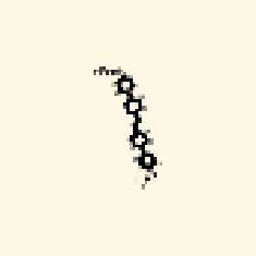 CCCCCC1CCC(C2CCC(CCC3=CCC(c4ccc(OC(F)(F)F)cc4)CC3)CC2)CC1